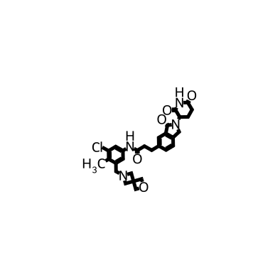 Cc1c(Cl)cc(NC(=O)CCc2ccc3c(c2)C(=O)N(C2CCC(=O)NC2=O)C3)cc1CN1CC2(COC2)C1